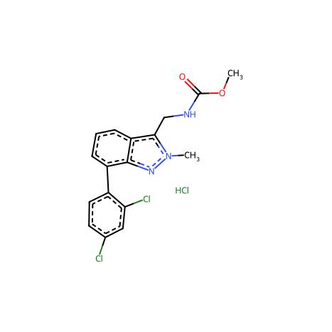 COC(=O)NCc1c2cccc(-c3ccc(Cl)cc3Cl)c2nn1C.Cl